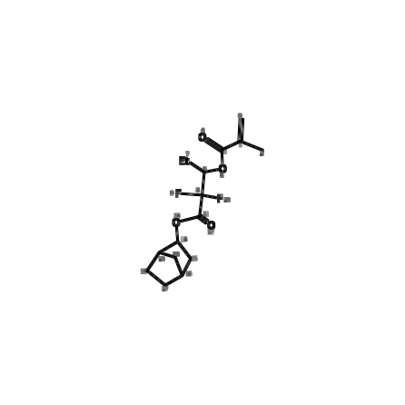 C=C(C)C(=O)OC(CC)C(F)(F)C(=O)OC1CC2CCC1C2